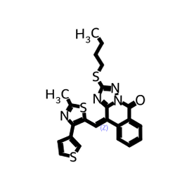 CCCCSc1nc2/c(=C\c3sc(C)nc3-c3ccsc3)c3ccccc3c(=O)n2n1